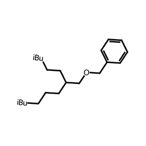 CCC(C)CCCC(CCC(C)CC)COCc1ccccc1